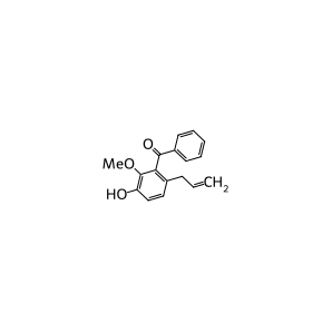 C=CCc1ccc(O)c(OC)c1C(=O)c1ccccc1